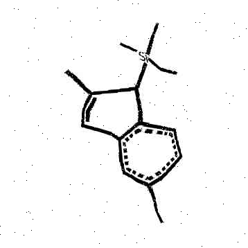 CC1=Cc2cc(C)ccc2C1[Si](C)(C)C